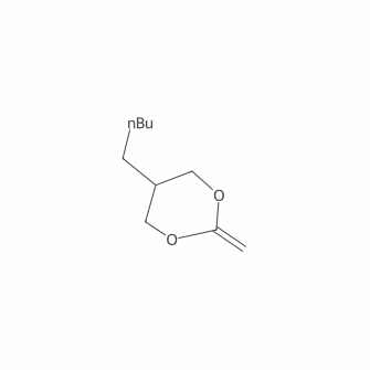 C=C1OCC(CCCCC)CO1